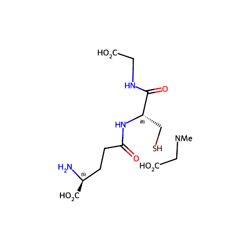 CNCC(=O)O.N[C@@H](CCC(=O)N[C@@H](CS)C(=O)NCC(=O)O)C(=O)O